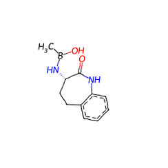 CB(O)N[C@H]1CCc2ccccc2NC1=O